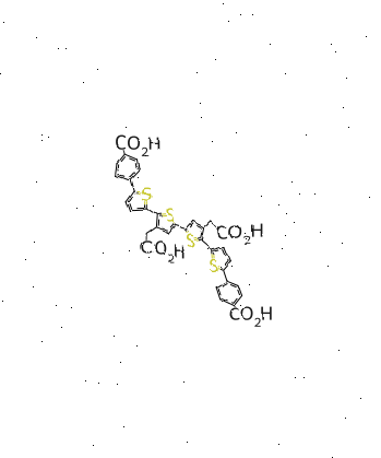 O=C(O)Cc1cc(-c2cc(CC(=O)O)c(-c3ccc(-c4ccc(C(=O)O)cc4)s3)s2)sc1-c1ccc(-c2ccc(C(=O)O)cc2)s1